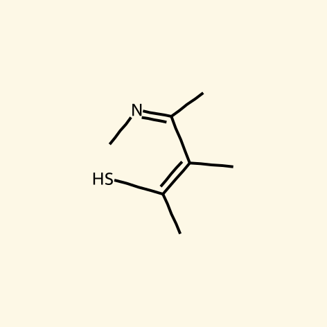 C/N=C(C)\C(C)=C(\C)S